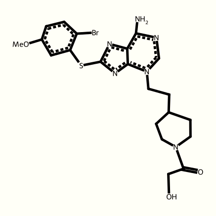 COc1ccc(Br)c(Sc2nc3c(N)ncn(CCC4CCN(C(=O)CO)CC4)c-3n2)c1